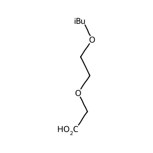 CCC(C)OCCOCC(=O)O